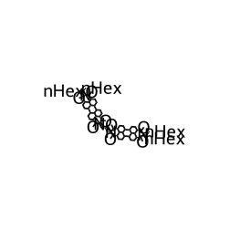 CCCCCCC(CCCCCC)N1C(=O)c2ccc3c4ccc5c6c(ccc(c7ccc(c2c37)C1=O)c64)C(=O)N(CCCN1C(=O)c2ccc3c4ccc6c7c(ccc(c8ccc(c2c38)C1=O)c74)C(=O)N(C(CCCCCC)CCCCCC)C6=O)C5=O